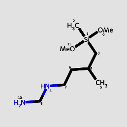 CO[Si](C)(CC(C)CCNCN)OC